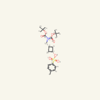 Cc1ccc(S(=O)(=O)O[C@H]2C[C@@H](CN(C(=O)OC(C)(C)C)C(=O)OC(C)(C)C)C2)cc1